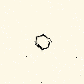 [C]1=NCCOC1